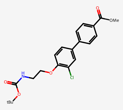 COC(=O)c1ccc(-c2ccc(OCCNC(=O)OC(C)(C)C)c(Cl)c2)cc1